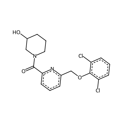 O=C(c1cccc(COc2c(Cl)cccc2Cl)n1)N1CCCC(O)C1